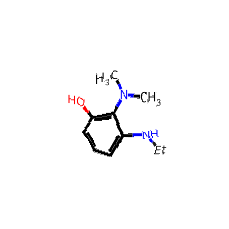 CCNc1cccc(O)c1N(C)C